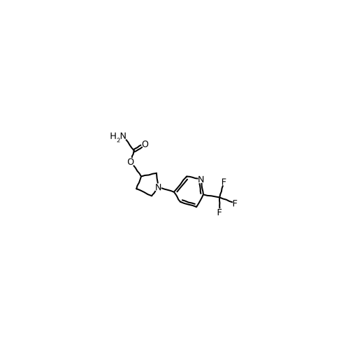 NC(=O)OC1CCN(c2ccc(C(F)(F)F)nc2)C1